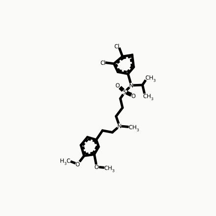 COc1ccc(CCN(C)CCCS(=O)(=O)N(c2ccc(Cl)c(Cl)c2)C(C)C)cc1OC